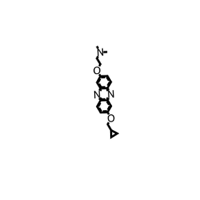 CN(C)CCOc1ccc2nc3cc(OCC4CC4)ccc3nc2c1